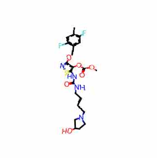 COC(=O)Oc1c(OCc2cc(F)c(C)cc2F)nsc1NC(=O)NCCCCN1CCC(O)C1